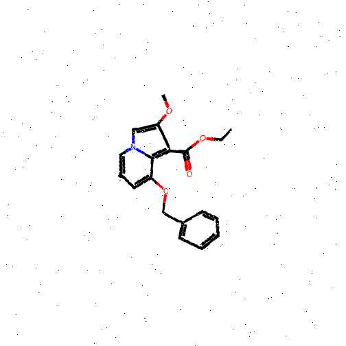 CCOC(=O)c1c(OC)cn2cccc(OCc3ccccc3)c12